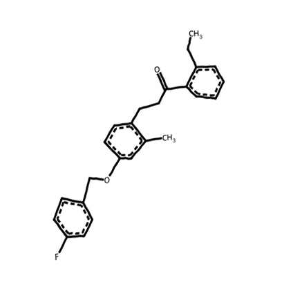 CCc1ccccc1C(=O)CCc1ccc(OCc2ccc(F)cc2)cc1C